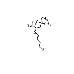 CC(C)CCCSSC(C[Si](C)(C)C)OCC(C)C